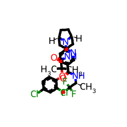 C[C@@H](NC(=O)c1ccc(N2[C@@H]3CC[C@H]2C[C@@H](NC(=O)C(C)(C)Oc2ccc(Cl)cc2Cl)C3)nc1)C(F)(F)F